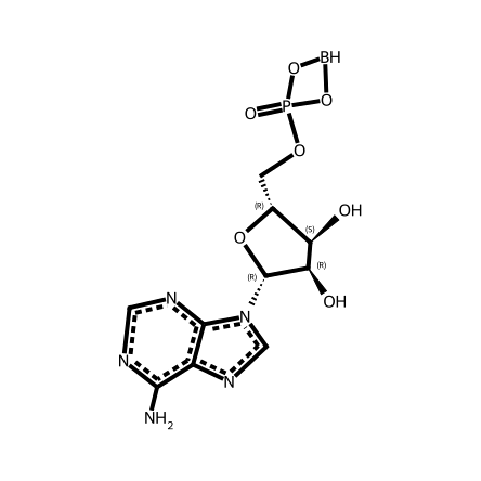 Nc1ncnc2c1ncn2[C@@H]1O[C@H](COP2(=O)OBO2)[C@@H](O)[C@H]1O